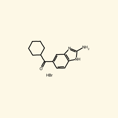 Br.Nc1nc2cc(C(=O)C3CCCCC3)ccc2[nH]1